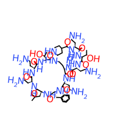 CC(C)C[C@@H]1NC(=O)[C@@H](Cc2ccccc2)NC(=O)[C@H](CCN)NC(=O)[C@@H](NC(=O)[C@H](CCN)NC(=O)[C@@H](NC(=O)[C@H](CCN)NC(=O)C2CCNCC2)C(C)O)CCNC(=O)[C@H](C(C)O)NC(=O)[C@H](CCN)NC(=O)[C@H](CCN)NC1=O